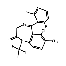 Cc1ccc2c(c1Cl)C(c1c(F)cccc1F)=NCC(=O)N2C(I)(I)I